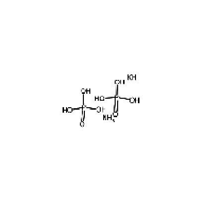 N.O=P(O)(O)O.O=P(O)(O)O.[KH]